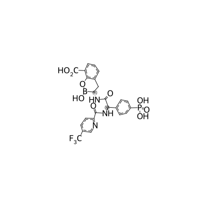 O=C(N[C@@H](C(=O)N[C@H]1Cc2cccc(C(=O)O)c2OB1O)c1ccc(P(=O)(O)O)cc1)c1ccc(C(F)(F)F)cn1